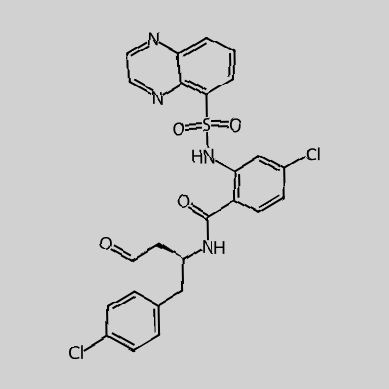 O=CC[C@H](Cc1ccc(Cl)cc1)NC(=O)c1ccc(Cl)cc1NS(=O)(=O)c1cccc2nccnc12